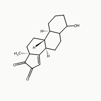 C[C@]12CC[C@H]3[C@@H](CCC4C(O)CCC[C@@H]43)C1=CC(=O)C2=O